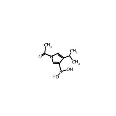 CC(=O)n1cc(B(O)O)c(C(C)C)c1